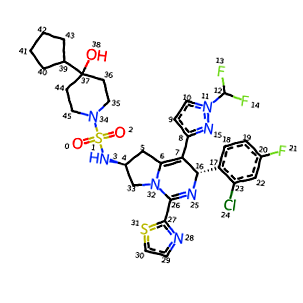 O=S(=O)(N[C@H]1CC2=C(c3ccn(C(F)F)n3)[C@H](c3ccc(F)cc3Cl)N=C(c3nccs3)N2C1)N1CCC(O)(C2CCCC2)CC1